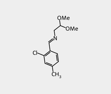 COC(CN=Cc1ccc(C)cc1Cl)OC